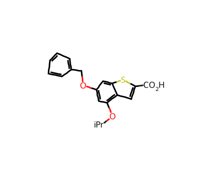 CC(C)Oc1cc(OCc2ccccc2)cc2sc(C(=O)O)cc12